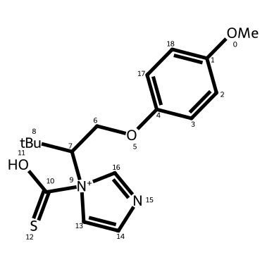 COc1ccc(OCC(C(C)(C)C)[N+]2(C(O)=S)C=CN=C2)cc1